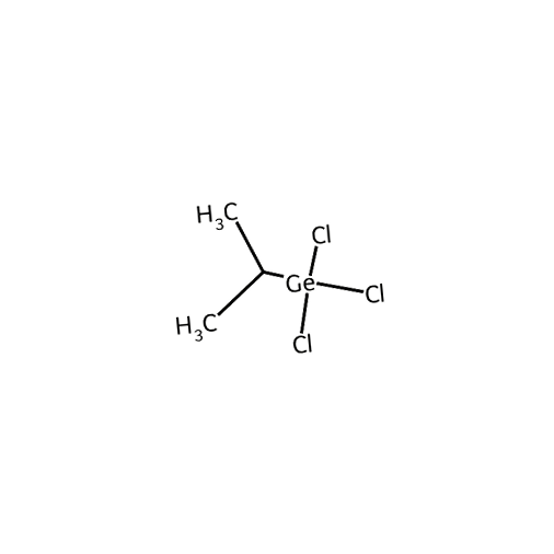 C[CH](C)[Ge]([Cl])([Cl])[Cl]